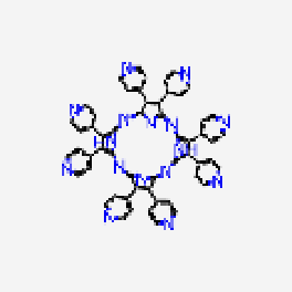 c1cc(C2=C(c3ccncc3)c3nc2nc2[nH]c(nc4nc(nc5[nH]c(n3)c(-c3ccncc3)c5-c3ccncc3)C(c3ccncc3)=C4c3ccncc3)c(-c3ccncc3)c2-c2ccncc2)ccn1